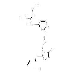 NC(=NCC(F)(F)F)Nc1ccnc(SCCCn2c(O)cnc2OC(=O)/C=C\C(=O)O)n1